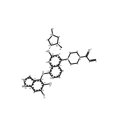 C=CC(=O)N1CCN(c2nc(O[C@@H]3CN(C)C[C@H]3C)nc3c(Oc4c(Cl)c(F)cc5[nH]ncc45)nccc23)CC1